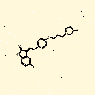 O=C1Nc2ccc(F)cc2/C1=C\Nc1ccc(OCCCN2CCC(F)C2)cc1